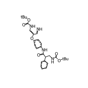 CC(C)(C)OC(=O)N/C=C(\C=N)Oc1ccc(NC(=O)C(CNC(=O)OC(C)(C)C)c2ccccc2)cc1